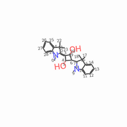 CN1C(=C2C(O)C(C3N(C)c4ccccc4C3(C)C)C2O)C(C)(C)c2ccccc21